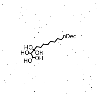 CCCCCCCCCCCCCCCCCCC(O)(O)C(O)C(O)O